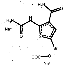 NC(=O)Nc1sc(Br)cc1C(N)=O.O=C([O-])[O-].[Na+].[Na+]